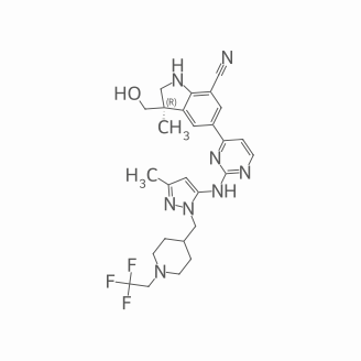 Cc1cc(Nc2nccc(-c3cc(C#N)c4c(c3)[C@@](C)(CO)CN4)n2)n(CC2CCN(CC(F)(F)F)CC2)n1